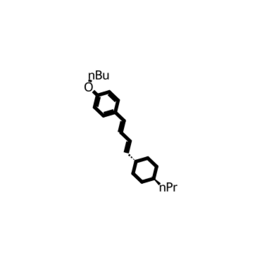 CCCCOc1ccc(C=CC=C[C@H]2CC[C@H](CCC)CC2)cc1